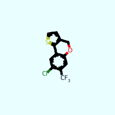 FC(F)(F)c1cc2c(cc1Cl)-c1sccc1CO2